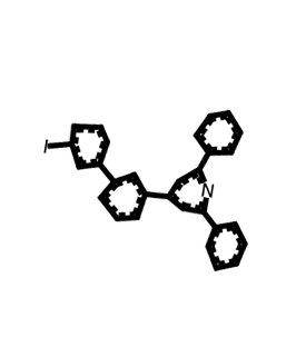 Ic1cccc(-c2cccc(-c3cc(-c4ccccc4)nc(-c4ccccc4)c3)c2)c1